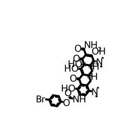 CN(C)c1cc(NC(=O)Oc2ccc(Br)cc2)c(O)c2c1C[C@H]1C[C@H]3[C@H](N(C)C)C(O)=C(C(N)=O)C(=O)[C@@]3(O)C(O)=C1C2=O